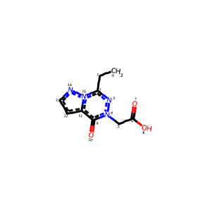 CCc1nn(CC(=O)O)c(=O)c2ccnn12